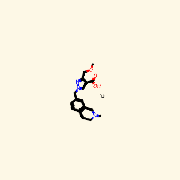 COCc1nn(Cc2ccc3c(c2)CN(C)CC3)cc1C(=O)O.[Li]